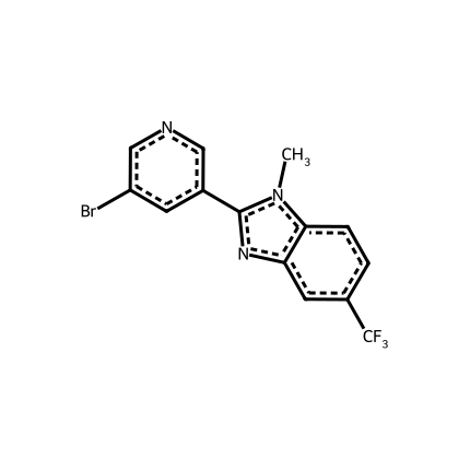 Cn1c(-c2cncc(Br)c2)nc2cc(C(F)(F)F)ccc21